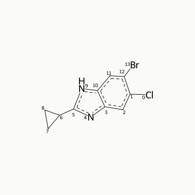 Clc1cc2nc(C3CC3)[nH]c2cc1Br